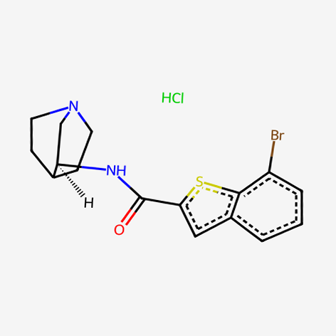 Cl.O=C(N[C@@H]1CN2CCC1CC2)c1cc2cccc(Br)c2s1